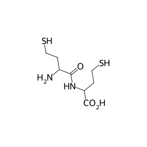 NC(CCS)C(=O)NC(CCS)C(=O)O